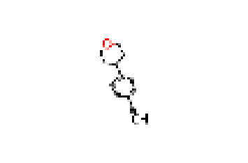 C#Cc1ccc(C2CCOCC2)cc1